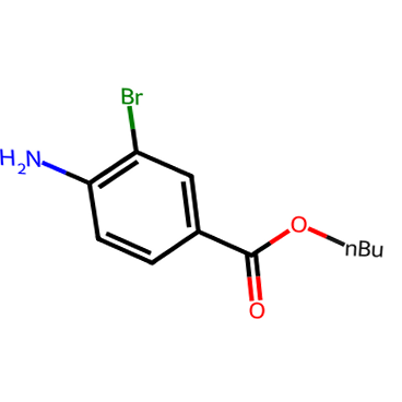 CCCCOC(=O)c1ccc(N)c(Br)c1